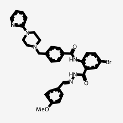 COc1ccc(/C=N/NC(=O)c2cc(Br)ccc2NC(=O)c2ccc(CN3CCN(c4ccccn4)CC3)cc2)cc1